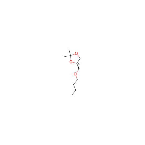 CCCCOC[C@@H]1COC(C)(C)O1